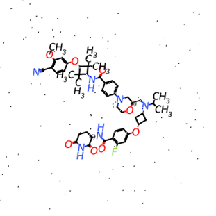 COc1cc(O[C@H]2C(C)(C)[C@H](NC(=O)c3ccc(N4CCO[C@H](CN(C(C)C)[C@H]5C[C@@H](Oc6ccc(C(=O)N[C@H]7CCC(=O)NC7=O)c(F)c6)C5)C4)cc3)C2(C)C)ccc1C#N